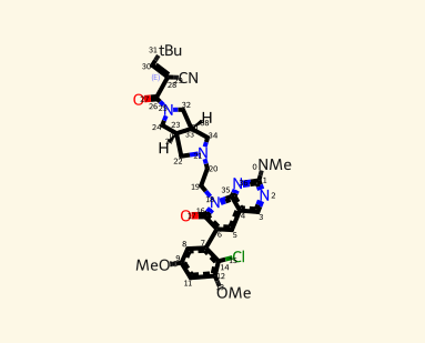 CNc1ncc2cc(-c3cc(OC)cc(OC)c3Cl)c(=O)n(CCN3C[C@@H]4CN(C(=O)/C(C#N)=C/C(C)(C)C)C[C@@H]4C3)c2n1